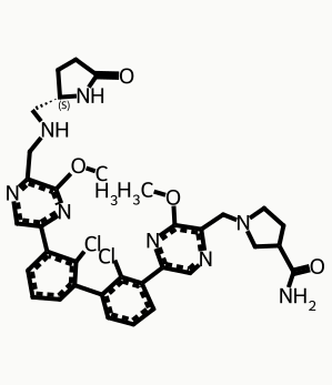 COc1nc(-c2cccc(-c3cccc(-c4cnc(CN5CCC(C(N)=O)C5)c(OC)n4)c3Cl)c2Cl)cnc1CNC[C@@H]1CCC(=O)N1